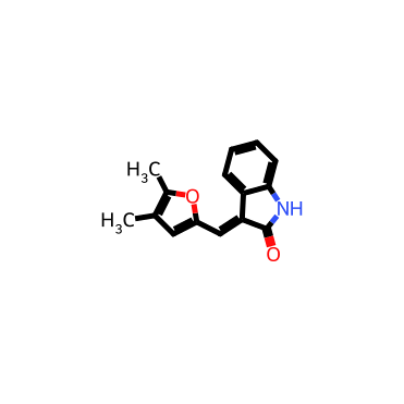 Cc1cc(/C=C2/C(=O)Nc3ccccc32)oc1C